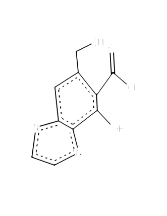 CCc1cc2nccnc2c(O)c1C(C)=O